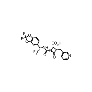 O=C(O)[C@@H]1[C@@H](Cc2cccnc2)C(=O)N1C(=O)N[C@@H](c1ccc2c(c1)OC(F)(F)O2)C(F)(F)F